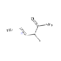 CC(/C=C/O)C(N)=O